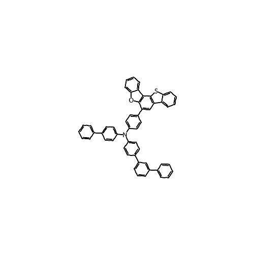 c1ccc(-c2ccc(N(c3ccc(-c4cccc(-c5ccccc5)c4)cc3)c3ccc(-c4cc5c6ccccc6sc5c5c4oc4ccccc45)cc3)cc2)cc1